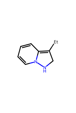 CCC1=C2C=CC=CN2NC1